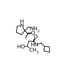 C[C@@H](O)[C@H](CC(=O)C1(CN)CCCN1)C(=O)NCC1CCC1